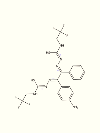 Nc1ccc(C(=N\N=C(/S)NCC(F)(F)F)/C(=N/N=C(\S)NCC(F)(F)F)c2ccccc2)cc1